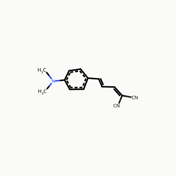 [C-]#[N+]/C(C#N)=C\C=C\c1ccc(N(C)C)cc1